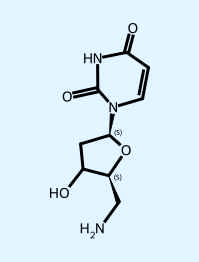 NC[C@@H]1O[C@H](n2ccc(=O)[nH]c2=O)CC1O